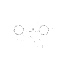 COc1ccccc1CN1C(C(=O)O)Nc2cc(Cl)cc(Cl)c2S1(=O)=O